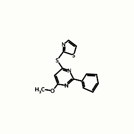 COc1cc(Sc2nccs2)nc(-c2ccccc2)n1